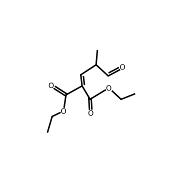 CCOC(=O)C(=CC(C)C=O)C(=O)OCC